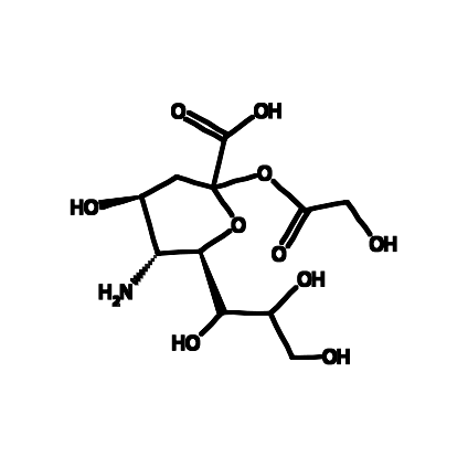 N[C@@H]1[C@@H](O)CC(OC(=O)CO)(C(=O)O)O[C@H]1C(O)C(O)CO